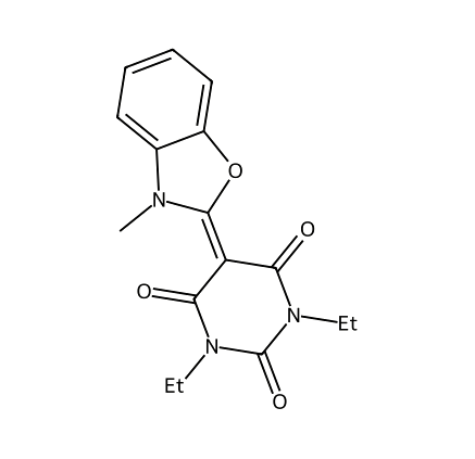 CCN1C(=O)C(=C2Oc3ccccc3N2C)C(=O)N(CC)C1=O